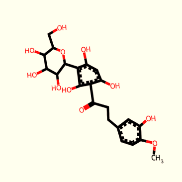 COc1ccc(CCC(=O)c2c(O)cc(O)c(C3OC(CO)C(O)C(O)C3O)c2O)cc1O